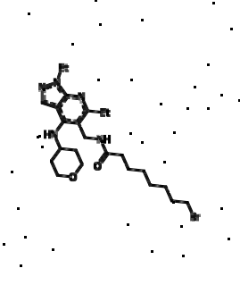 CCc1nc2c(cnn2CC)c(NC2CCOCC2)c1CNC(=O)CCCCCCCBr